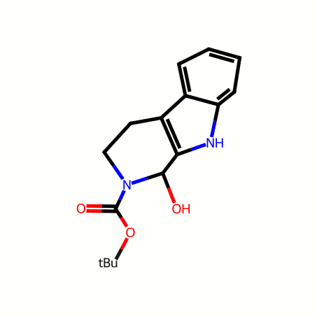 CC(C)(C)OC(=O)N1CCc2c([nH]c3ccccc23)C1O